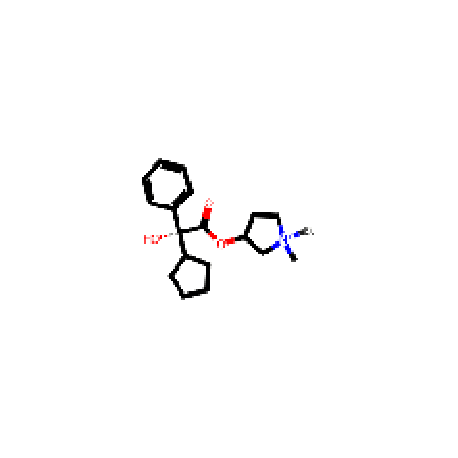 CC[N+]1(C)CCC(OC(=O)[C@](O)(c2ccccc2)C2CCCC2)C1